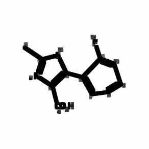 Cc1nc(C(=O)O)c(-c2ccccc2F)s1